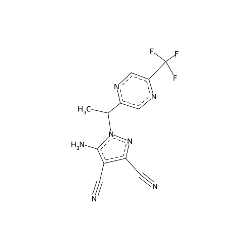 CC(c1cnc(C(F)(F)F)cn1)n1nc(C#N)c(C#N)c1N